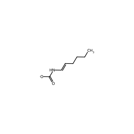 CCCCC=CNC([O])=O